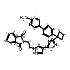 Nc1ncc(-c2ccc(C3(c4noc(-c5cnn(CCN6C(=O)c7ccccc7C6=O)c5)n4)CCC3)cc2)cn1